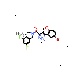 Cn1nc(C(=O)N(CC(=O)O)Cc2cc(F)cc(F)c2)c2c1-c1cc(Br)ccc1OC2